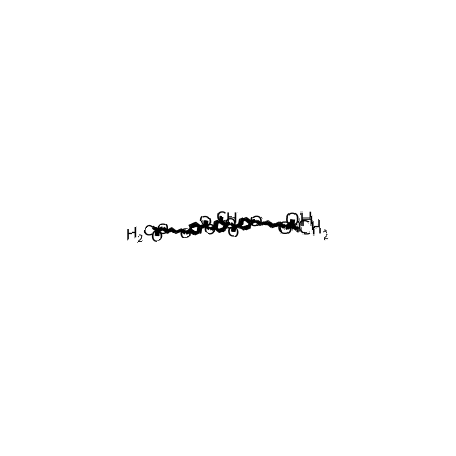 C=CC(=O)OCCCCOc1ccc(C(=O)Oc2ccc(OC(=O)c3ccc(OCCCCOC(O)C=C)cc3)c(C)c2)cc1